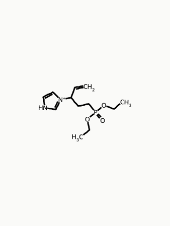 C=CC(CCP(=O)(OCC)OCC)[n+]1cc[nH]c1